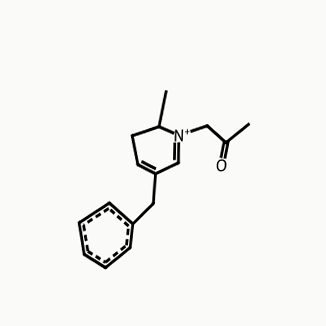 CC(=O)C[N+]1=CC(Cc2ccccc2)=CCC1C